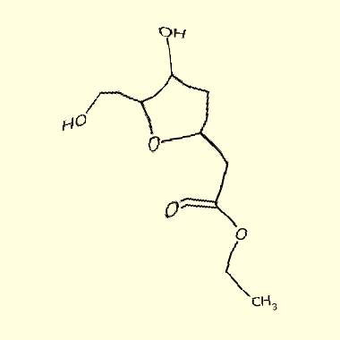 CCOC(=O)CC1CC(O)C(CO)O1